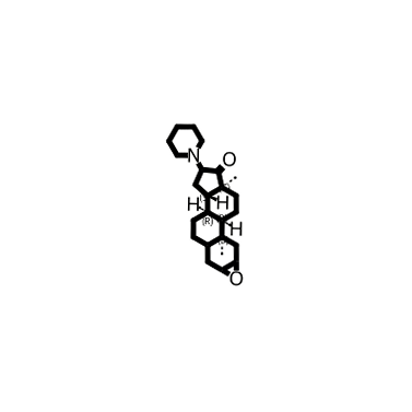 C[C@]12CC3OC3CC1CC[C@@H]1[C@H]2CC[C@]2(C)C(=O)C(N3CCCCC3)C[C@@H]12